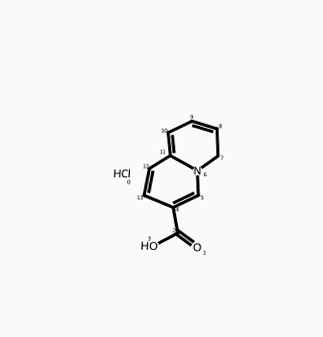 Cl.O=C(O)C1=CN2CC=CC=C2C=C1